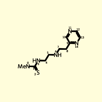 CNC(=S)NCCNCCc1cnccn1